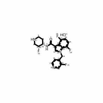 Cl.O=C(N[C@H]1CCNC[C@H]1F)c1cn(Cc2ccncc2F)c2c(F)ccc(F)c12